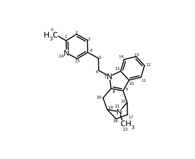 Cc1ccc(CCn2c3c(c4ccccc42)C2CCC(C3)N2C)cn1